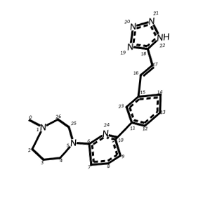 CN1CCCN(c2cccc(-c3cccc(C=Cc4nnn[nH]4)c3)n2)CC1